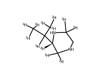 [2H]C1([2H])CNC([2H])([2H])[C@]([2H])(C([2H])(C([2H])([2H])[2H])C([2H])([2H])[2H])N1